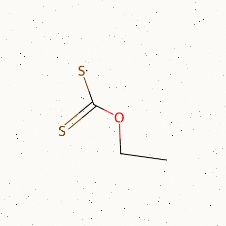 CCOC([S])=S